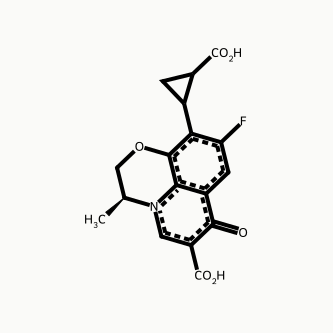 C[C@H]1COc2c(C3CC3C(=O)O)c(F)cc3c(=O)c(C(=O)O)cn1c23